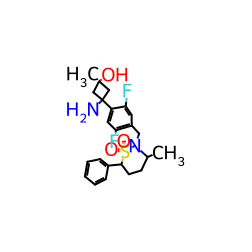 CC1CCC(c2ccccc2)S(=O)(=O)N1Cc1cc(F)c(C2(N)CC(C)(O)C2)cc1F